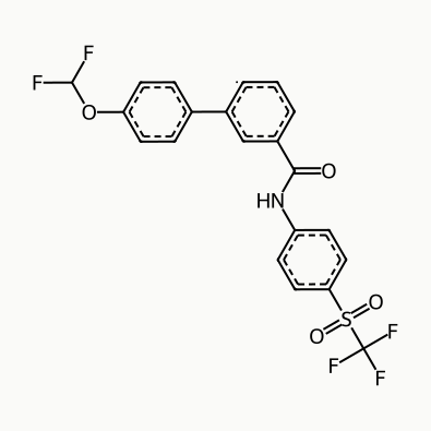 O=C(Nc1ccc(S(=O)(=O)C(F)(F)F)cc1)c1cc[c]c(-c2ccc(OC(F)F)cc2)c1